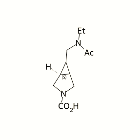 CCN(CC1C2CN(C(=O)O)C[C@@H]12)C(C)=O